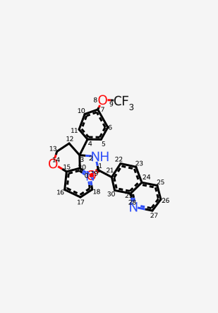 O=C(NC1(c2ccc(OC(F)(F)F)cc2)CCOc2cccnc21)c1ccc2cccnc2c1